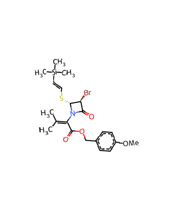 COc1ccc(COC(=O)C(=C(C)C)N2C(=O)[C@H](Br)[C@H]2S/C=C/[Si](C)(C)C)cc1